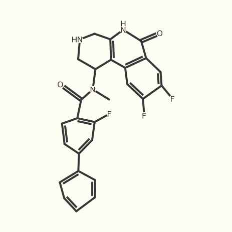 CN(C(=O)c1ccc(-c2ccccc2)cc1F)C1CNCc2[nH]c(=O)c3cc(F)c(F)cc3c21